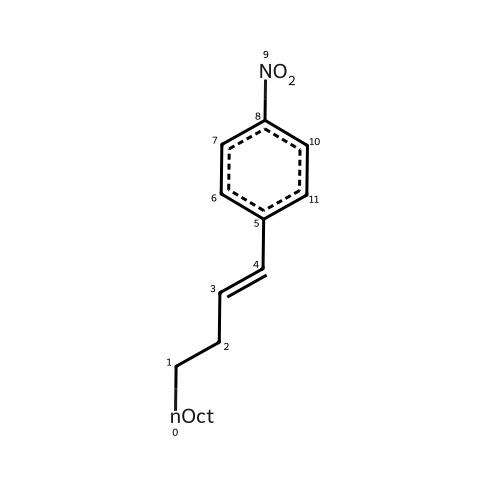 CCCCCCCCCCC=Cc1ccc([N+](=O)[O-])cc1